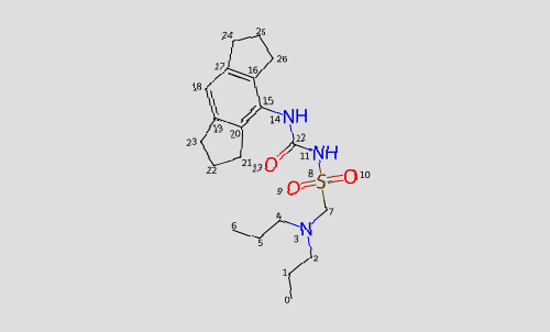 CCCN(CCC)CS(=O)(=O)NC(=O)Nc1c2c(cc3c1CCC3)CCC2